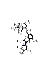 C/C=C(\C=C(\C)C(C)=O)C(=N/c1cc(CNC(CC(C)C)C(=O)OC(C)(C)C)ccc1C)/C(C)C